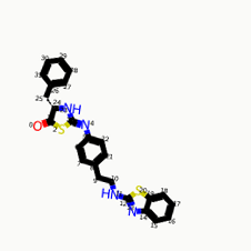 O=C1S/C(=N\c2ccc(CCNc3nc4ccccc4s3)cc2)N[C@H]1Cc1ccccc1